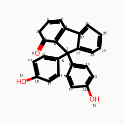 O=C1CC=CC2=C1C(c1ccc(O)cc1)(c1ccc(O)cc1)c1ccccc12